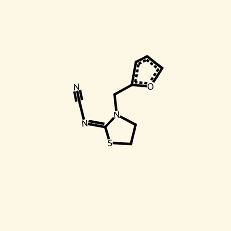 N#CN=C1SCCN1Cc1ccco1